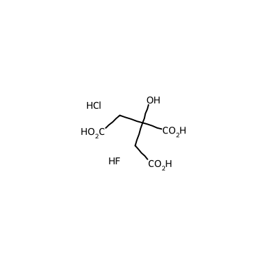 Cl.F.O=C(O)CC(O)(CC(=O)O)C(=O)O